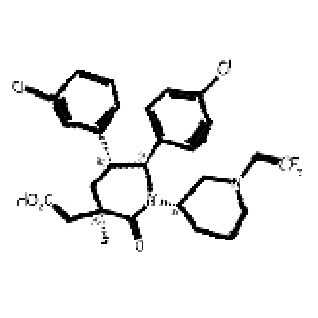 C[C@]1(CC(=O)O)C[C@H](c2cccc(Cl)c2)[C@@H](c2ccc(Cl)cc2)N([C@H]2CCCN(CC(F)(F)F)C2)C1=O